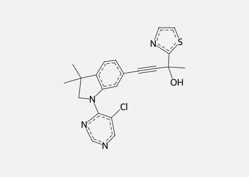 CC(O)(C#Cc1ccc2c(c1)N(c1ncncc1Cl)CC2(C)C)c1nccs1